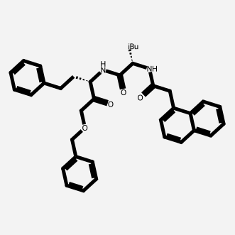 CCC(C)[C@H](NC(=O)Cc1cccc2ccccc12)C(=O)N[C@@H](CCc1ccccc1)C(=O)COCc1ccccc1